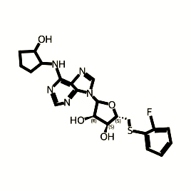 OC1CCCC1Nc1ncnc2c1ncn2C1O[C@H](CSc2ccccc2F)[C@@H](O)[C@H]1O